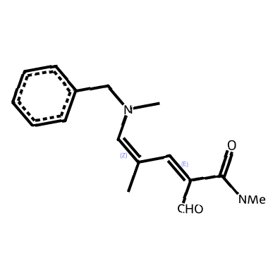 CNC(=O)/C(C=O)=C/C(C)=C\N(C)Cc1ccccc1